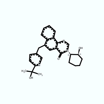 CC(C)(O)c1ccc(Cc2cc3c(=O)n([C@H]4CCCC[C@@H]4O)cnc3c3ccccc23)cn1